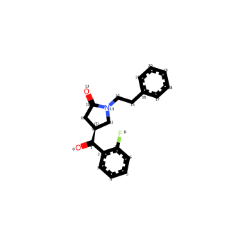 O=C(c1ccccc1F)[C@H]1CC(=O)N(CCc2ccccc2)C1